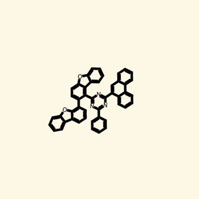 c1ccc(-c2nc(-c3cc4ccccc4c4ccccc34)nc(-c3c(-c4cccc5c4oc4ccccc45)ccc4oc5ccccc5c34)n2)cc1